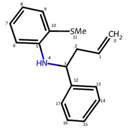 C=CCC(Nc1ccccc1SC)c1ccccc1